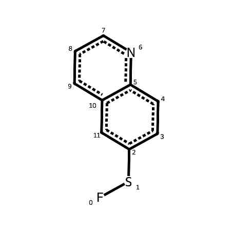 FSc1ccc2ncccc2c1